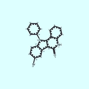 O=c1[nH]c2ccccc2c2c1c1cc(Br)ccc1n2-c1ccccc1